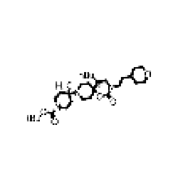 CCCC[C@H]1CN(CCC2CCOCC2)C(=O)OC12CCN(C1(C)CCN(C(=O)OC(C)(C)C)CC1)CC2